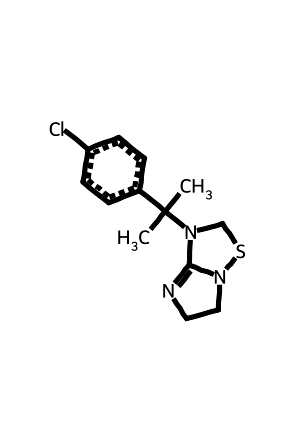 CC(C)(c1ccc(Cl)cc1)N1CSN2CCN=C21